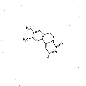 Cc1cc2c(cc1C)-c1cc(Cl)nc(=O)n1CC2